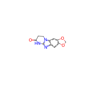 O=C1CCn2c(nc3cc4c(cc32)OCO4)N1